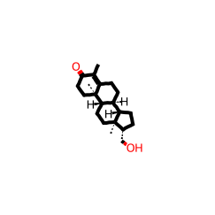 CC1=C2CC[C@H]3[C@@H]4CC[C@H](CO)[C@@]4(C)CC[C@@H]3[C@@]2(C)CCC1=O